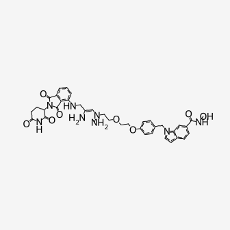 N/C(=C\N(N)CCOCCOc1ccc(Cn2ccc3ccc(C(=O)NO)cc32)cc1)CNc1cccc2c1C(=O)N(C1CCC(=O)NC1=O)C2=O